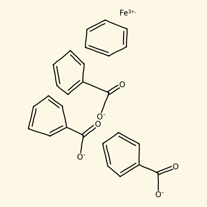 O=C([O-])c1ccccc1.O=C([O-])c1ccccc1.O=C([O-])c1ccccc1.[Fe+3].c1ccccc1